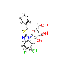 OC[C@H]1O[C@H](n2c(SCc3ccccc3)nc3cc(Cl)c(Cl)cc32)[C@@H](O)[C@H]1O